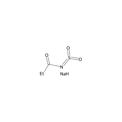 CCC(=O)N=S(=O)=O.[NaH]